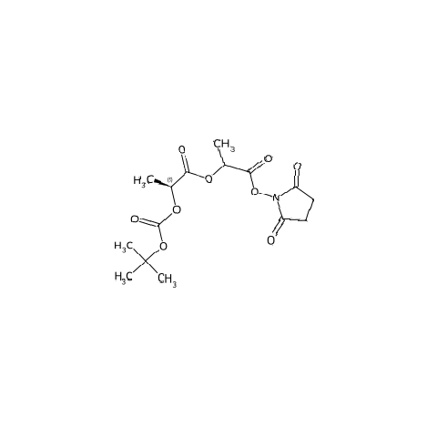 CC(OC(=O)[C@H](C)OC(=O)OC(C)(C)C)C(=O)ON1C(=O)CCC1=O